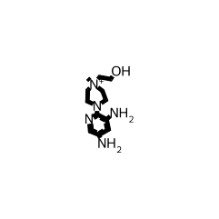 C[N+]1(CCO)CCN(c2ncc(N)cc2N)CC1